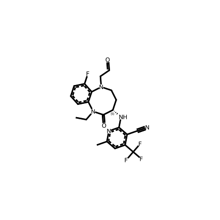 CCN1C(=O)[C@@H](Nc2nc(C)cc(C(F)(F)F)c2C#N)CCN(CC=O)c2c(F)cccc21